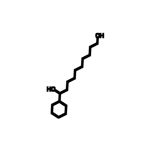 OCCCCCCCCCC(O)C1CCCCC1